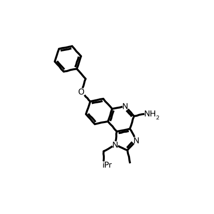 Cc1nc2c(N)nc3cc(OCc4ccccc4)ccc3c2n1CC(C)C